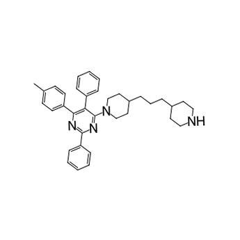 Cc1ccc(-c2nc(-c3ccccc3)nc(N3CCC(CCCC4CCNCC4)CC3)c2-c2ccccc2)cc1